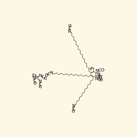 CCC(CN=C=O)N=C=O.CCCC1(N=C=O)C(CCCCCCCCCCCCCN=C=O)=C(CCCCCCCCCCCCCCCN=C=O)C(CCCCCCCCCCCCCCCCCCN=C=O)=C(C(C)C)C1(N=C=O)N=C=O.N=C=O